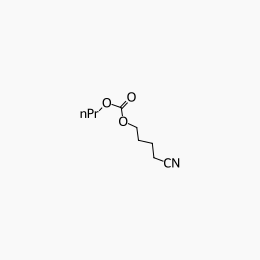 CCCOC(=O)OCCCCC#N